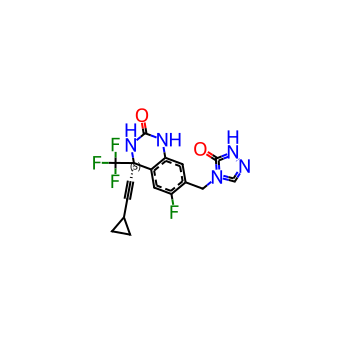 O=C1Nc2cc(Cn3cn[nH]c3=O)c(F)cc2[C@@](C#CC2CC2)(C(F)(F)F)N1